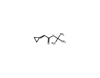 CC(C)(C)OC(=O)C=C1CC1